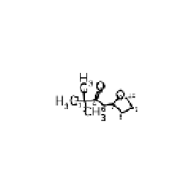 CC(C)(C)C(=O)CC1CCCO1